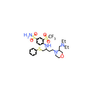 CCN(CC)CC1COCCN1CCC(CSc1ccccc1)Nc1ccc(S(N)(=O)=O)cc1S(=O)(=O)C(F)(F)F